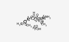 CO/N=C(\C(=O)N[C@@H]1C(=O)N2C(C(=O)O)=C(CSc3nc(-c4ccc(OC)c(OC)c4)cs3)CS[C@H]12)c1csc(N)n1.O=C(O)C(F)(F)F